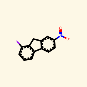 O=[N+]([O-])c1ccc2c(c1)Cc1c(I)cccc1-2